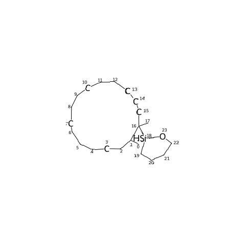 CC1CCCCCCCCCCCCCCC1(C)[SiH]1CCCCO1